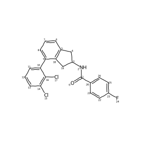 O=C(NC1Cc2cccc(-c3cccc(Cl)c3Cl)c2C1)c1ccc(F)cc1